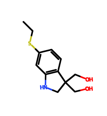 CCSc1ccc2c(c1)NCC2(CO)CO